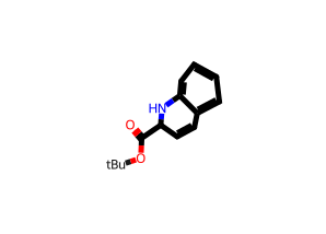 CC(C)(C)OC(=O)C1C=Cc2ccccc2N1